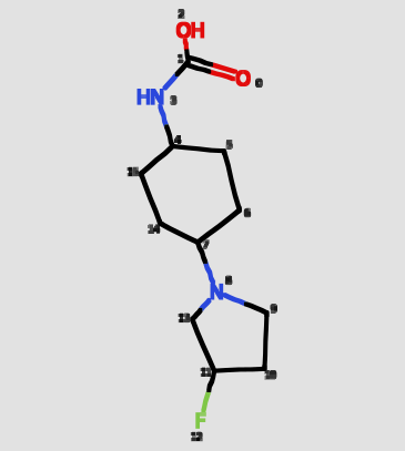 O=C(O)NC1CCC(N2CCC(F)C2)CC1